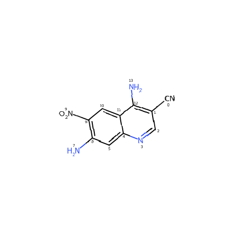 N#Cc1cnc2cc(N)c([N+](=O)[O-])cc2c1N